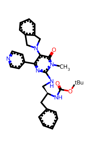 Cn1c(NC[C@H](Cc2ccccc2)NC(=O)OC(C)(C)C)nc(-c2ccncc2)c(N2Cc3ccccc3C2)c1=O